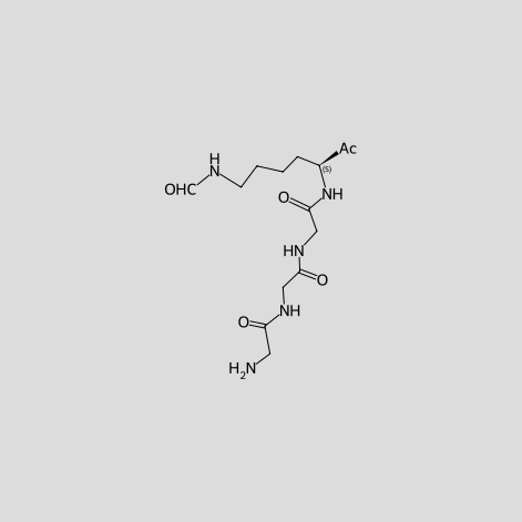 CC(=O)[C@H](CCCCNC=O)NC(=O)CNC(=O)CNC(=O)CN